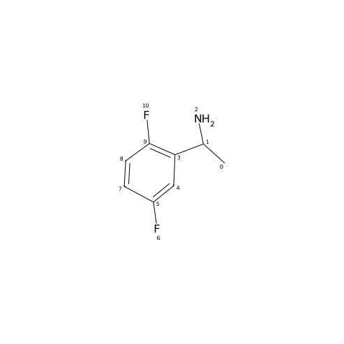 CC(N)c1cc(F)ccc1F